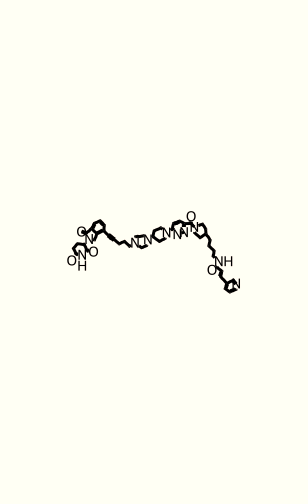 O=C(/C=C/c1cccnc1)NCCCCC1CCN(C(=O)c2ccc(N3CCC(N4CCN(CCCC#Cc5cccc6c5CN(C5CCC(=O)NC5=O)C6=O)CC4)CC3)nn2)CC1